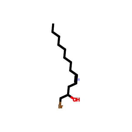 CCCCCCCC/C=C\CC(O)CBr